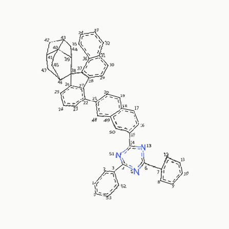 c1ccc(-c2nc(-c3ccccc3)nc(-c3ccc4ccc(-c5cccc6c5-c5ccc7ccccc7c5C65C6CC7CC(C6)CC5C7)cc4c3)n2)cc1